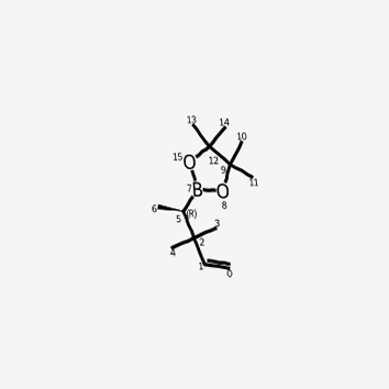 C=CC(C)(C)[C@@H](C)B1OC(C)(C)C(C)(C)O1